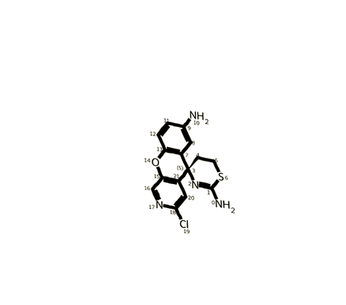 NC1=N[C@@]2(CCS1)c1cc(N)ccc1Oc1cnc(Cl)cc12